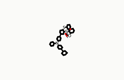 c1ccc(-c2ccc(N(c3ccccc3)c3ccc(-c4ccc5c(c4)[Si]4(c6ccccc6Oc6ccccc64)c4ccccc4S5)cc3)cc2)cc1